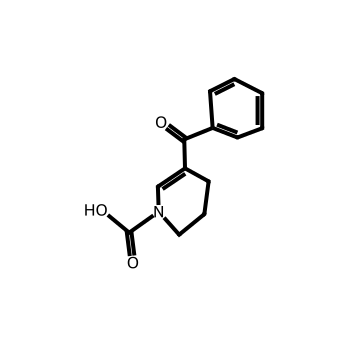 O=C(C1=CN(C(=O)O)CCC1)c1ccccc1